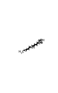 CCOCCCNCCCCCCS(=O)(=O)O